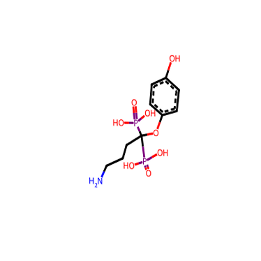 NCCCC(Oc1ccc(O)cc1)(P(=O)(O)O)P(=O)(O)O